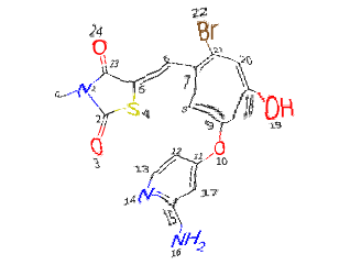 CN1C(=O)S/C(=C\c2cc(Oc3ccnc(N)c3)c(O)cc2Br)C1=O